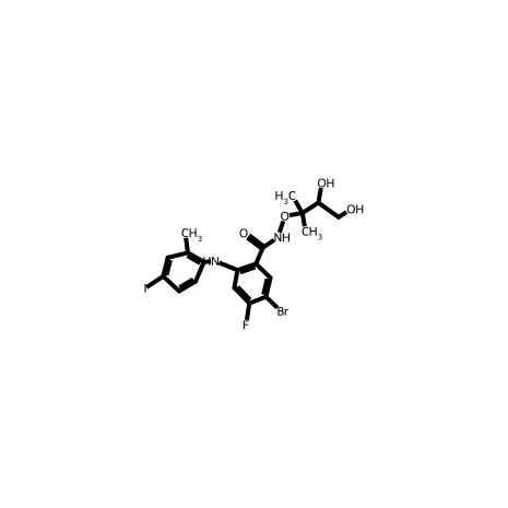 Cc1cc(I)ccc1Nc1cc(F)c(Br)cc1C(=O)NOC(C)(C)C(O)CO